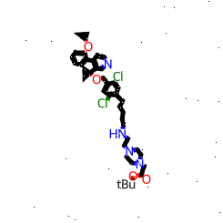 CC(C)(C)OC(=O)CN1CCN(CCNCCCCCc2cc(Cl)c(COC3(c4cnccc4-c4ccccc4OC4CC4)CC3)cc2Cl)CC1